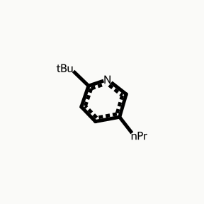 CCCc1ccc(C(C)(C)C)nc1